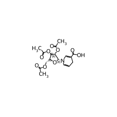 CC(=O)OC[C@H]1O[C@@H](N2C=CCC(C(=O)O)=C2)[C@H](OC(C)=O)[C@@H]1OC(C)=O